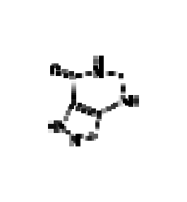 O=C1NCNc2cn[nH]c21